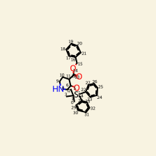 CC(C)(C)[Si](OC1CNCCC1C(=O)OCc1ccccc1)(c1ccccc1)c1ccccc1